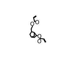 C=CC(=O)OCCC1CC2CC(OC(=O)C=C)C1C2